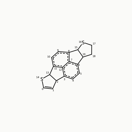 C1=CC2c3ccc4c5c(ccc(c35)C2S1)C1SCCC41